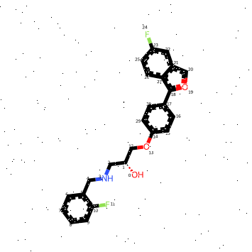 O[C@H](CNCc1ccccc1F)COc1ccc(-c2occ3cc(F)ccc23)cc1